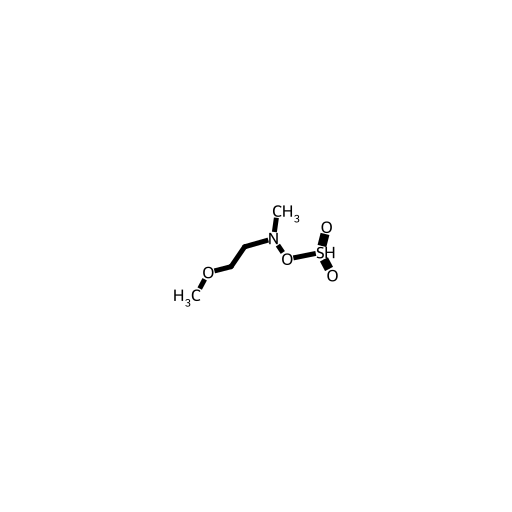 COCCN(C)O[SH](=O)=O